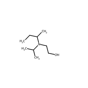 CCC(C)N(CCO)C(C)C